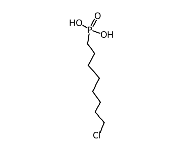 O=P(O)(O)CCCCCCCCCl